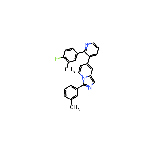 Cc1cccc(-c2ncc3cc(-c4cccnc4-c4ccc(F)c(C)c4)ccn23)c1